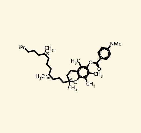 CNc1ccc(C(=O)Oc2c(C)c(C)c3c(c2C)CC[C@@](C)(CCC[C@H](C)CCC[C@H](C)CCCC(C)C)O3)cc1